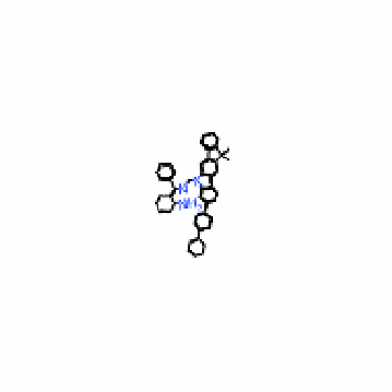 CC1(C)c2ccccc2-c2cc3c(cc21)c1ccc(-c2ccc(C4=CC=CCC4)cc2)cc1n3/C=N/C(=C1/C=CC=CC1N)c1ccccc1